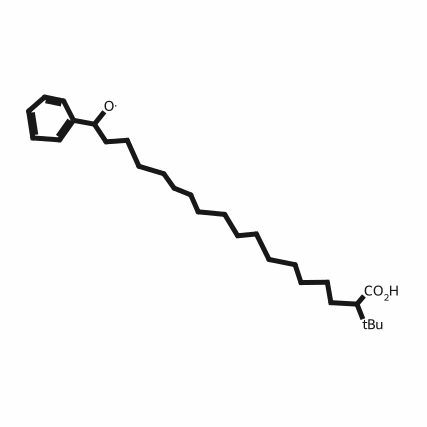 CC(C)(C)C(CCCCCCCCCCCCCCCC([O])c1ccccc1)C(=O)O